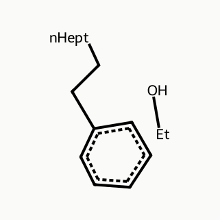 CCCCCCCCCc1ccccc1.CCO